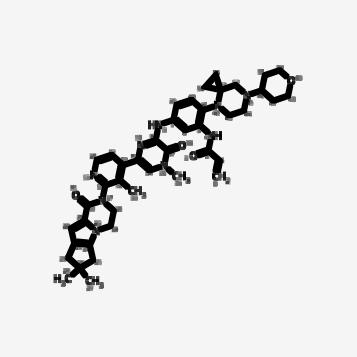 C=CC(=O)Nc1cc(Nc2nc(-c3ccnc(N4CCn5c(cc6c5CC(C)(C)C6)C4=O)c3C)cn(C)c2=O)ccc1N1CCN(C2CCOCC2)CC12CC2